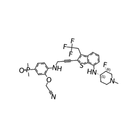 CN1CC[C@H](Nc2cccc3c(CC(F)(F)F)c(C#CCNc4ccc(P(C)(C)=O)cc4OCC#N)sc23)[C@H](F)C1